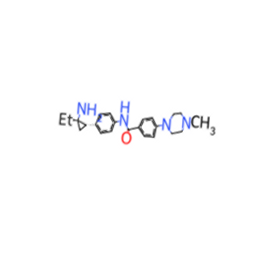 CC[C@]1(N)C[C@H]1c1ccc(NC(=O)c2ccc(N3CCN(C)CC3)cc2)cc1